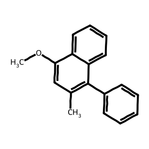 COc1cc(C)c(-c2ccccc2)c2ccccc12